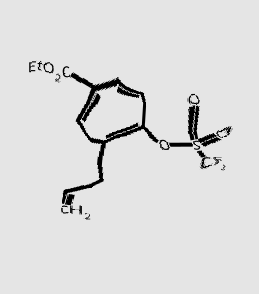 C=CCc1cc(C(=O)OCC)ccc1OS(=O)(=O)C(F)(F)F